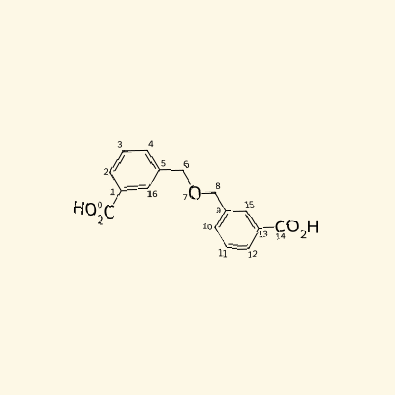 O=C(O)c1cccc(COCc2cccc(C(=O)O)c2)c1